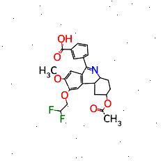 COc1cc2c(cc1OCC(F)F)C1CC(OC(C)=O)CCC1N=C2c1cccc(C(=O)O)c1